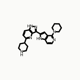 c1cc2[nH]c(-c3n[nH]c4ccc(C5CCNCC5)nc34)cc2c(N2CCCCC2)n1